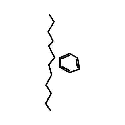 CCCCCCCCCCCC.c1ccccc1